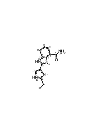 CCc1nc(-c2nc3c(C(N)=O)cccc3[nH]2)c[nH]1